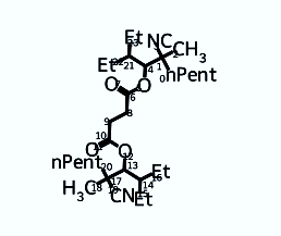 CCCCCC(C)(C#N)C(OC(=O)CCC(=O)OC(C(CC)CC)C(C)(C#N)CCCCC)C(CC)CC